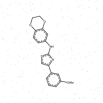 COc1cccc(-c2csc(Nc3ccc4c(c3)OCCO4)n2)c1